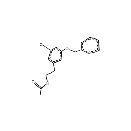 CC(=O)OCCc1cc(Cl)cc(OCc2ccccc2)c1